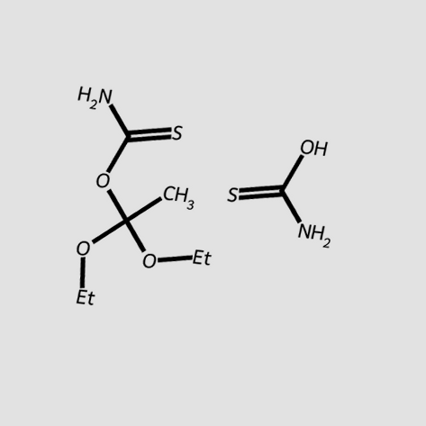 CCOC(C)(OCC)OC(N)=S.NC(O)=S